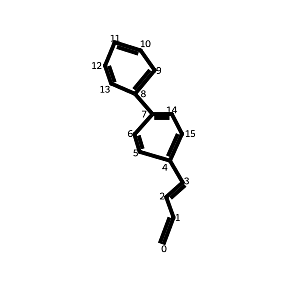 C=C/C=C/c1ccc(-c2ccccc2)cc1